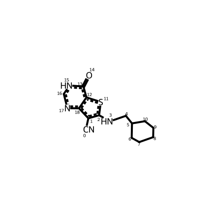 N#Cc1c(NCC2CCCCC2)sc2c(=O)[nH]cnc12